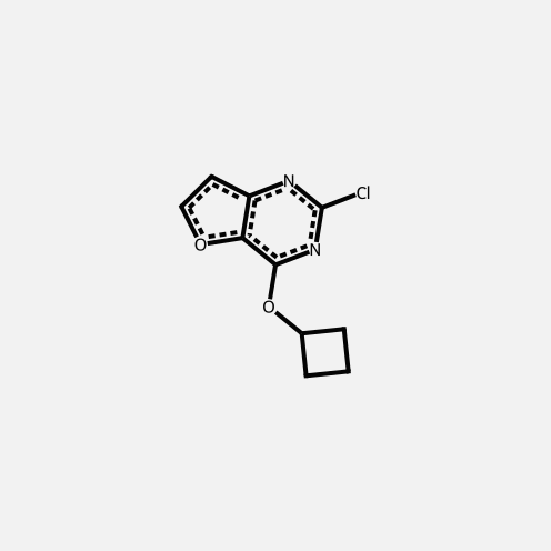 Clc1nc(OC2CCC2)c2occc2n1